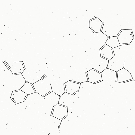 C#C/C=C(\C=C/C)n1c(C#C)c(/C=C(\C)N(c2ccc(F)cc2)c2ccc(-c3ccc(N(C4=CC=C(F)CC4C)c4ccc5c(c4)c4ccccc4n5-c4ccccc4)cc3)cc2)c2ccccc21